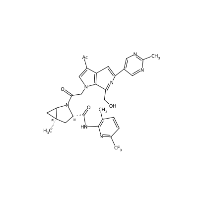 CC(=O)c1cn(CC(=O)N2C3C[C@]3(C)C[C@H]2C(=O)Nc2nc(C(F)(F)F)ccc2C)c2c(CO)nc(-c3cnc(C)nc3)cc12